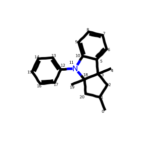 CC1CC2(C)c3ccccc3N(c3ccccc3)C2(C)C1